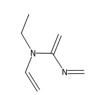 C=CN(CC)C(=C)N=C